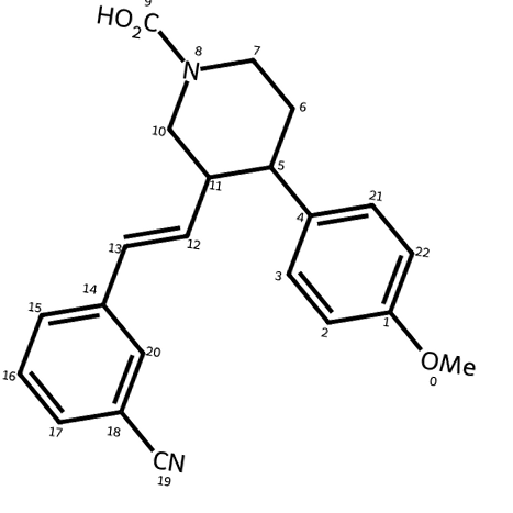 COc1ccc(C2CCN(C(=O)O)CC2C=Cc2cccc(C#N)c2)cc1